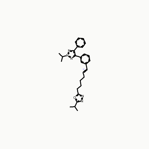 CC(C)c1nnc(CCCC/C=C/c2cccc(-c3nn(C(C)C)nc3-c3ccccc3)c2)o1